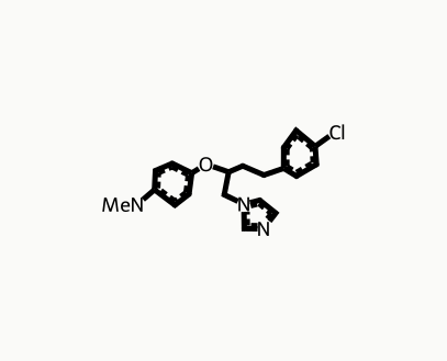 CNc1ccc(OC(CCc2ccc(Cl)cc2)Cn2ccnc2)cc1